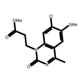 COC(=O)CCn1c(=O)nc(C)c2cc(SC)c(Cl)cc21